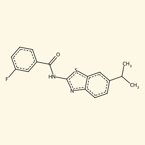 CC(C)c1ccc2nc(NC(=O)c3cccc(F)c3)sc2c1